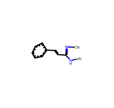 CCCNC(C=Cc1ccccc1)=NC#N